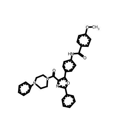 COc1ccc(C(=O)Nc2ccc(-c3oc(-c4ccccc4)nc3C(=O)N3CCN(c4ccccc4)CC3)cc2)cc1